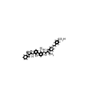 Cc1c(NC(=O)c2nc3c(n2C)CCN(CCc2ccc(C(=O)O)cc2)C3)cccc1-c1cccc(NC(=O)c2nc3c(n2C)CCCC3)c1Cl